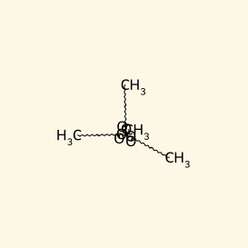 CCCCCCCC/C=C/CCCCCCCC(=O)OCC(CC)(COC(=O)CCCCCCC/C=C/CCCCCCCC)COC(=O)CCCCCCC/C=C/CCCCCCCC